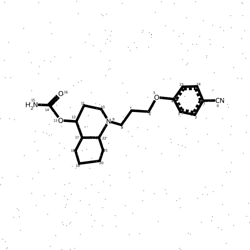 N#Cc1ccc(OCCCN2CCC(OC(N)=O)C3CCCCC32)cc1